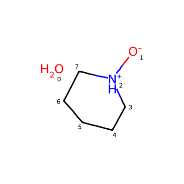 O.[O-][NH+]1CCCCC1